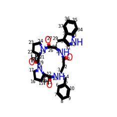 O=C1C[C@H](Cc2ccccc2)NC(=O)[C@@H]2CCCN2C(=O)[C@@H]2CCCN2C(=O)[C@H](Cc2c[nH]c3ccccc23)N1